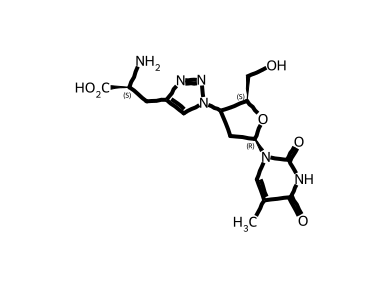 Cc1cn([C@H]2CC(n3cc(C[C@H](N)C(=O)O)nn3)[C@@H](CO)O2)c(=O)[nH]c1=O